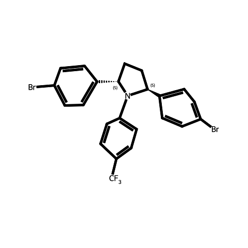 FC(F)(F)c1ccc(N2[C@H](c3ccc(Br)cc3)CC[C@H]2c2ccc(Br)cc2)cc1